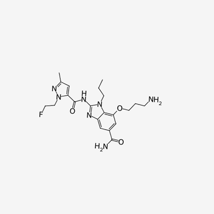 CCCn1c(NC(=O)c2cc(C)nn2CCF)nc2cc(C(N)=O)cc(OCCCN)c21